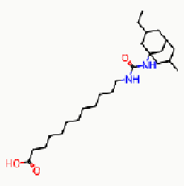 CCC1CC2CC(C)CC(NC(=O)NCCCCCCCCCCCC(=O)O)(C1)C2